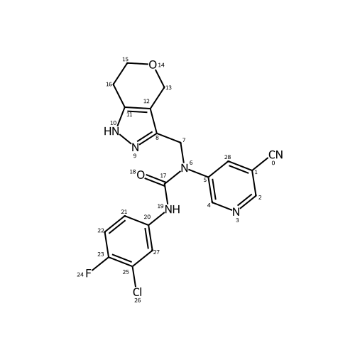 N#Cc1cncc(N(Cc2n[nH]c3c2COCC3)C(=O)Nc2ccc(F)c(Cl)c2)c1